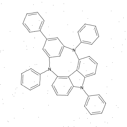 c1ccc(-c2cc3cc(c2)N(c2ccccc2)c2cccc4c2c2c(cccc2n4-c2ccccc2)N3c2ccccc2)cc1